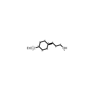 CCOC(=O)C1CCC(=CCCO)CC1